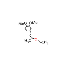 C=CCOC=C(C)CCc1ccc(OC)c(OC)c1